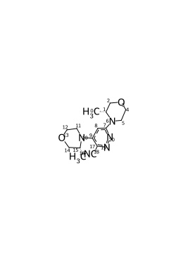 C[C@@H]1COCCN1c1cc(N2CCOC[C@H]2C)c(C#N)nn1